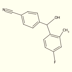 Cc1cc(F)ccc1C(O)c1ccc(C#N)cc1